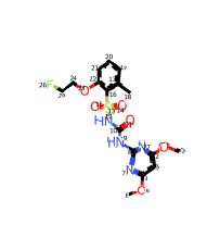 COc1cc(OC)nc(NC(=O)NS(=O)(=O)c2c(C)cccc2OCCF)n1